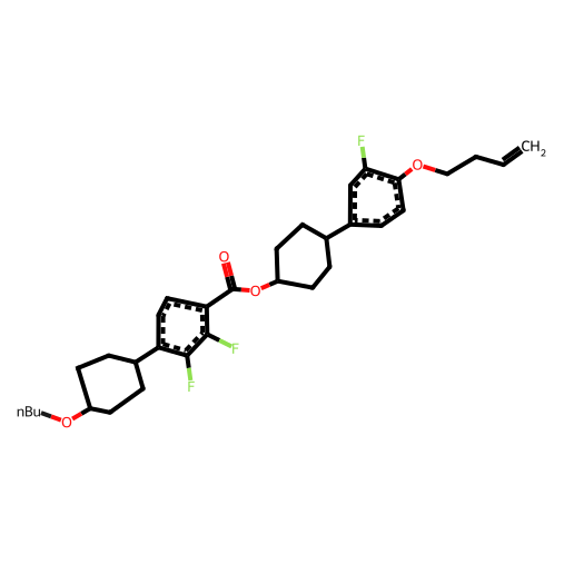 C=CCCOc1ccc(C2CCC(OC(=O)c3ccc(C4CCC(OCCCC)CC4)c(F)c3F)CC2)cc1F